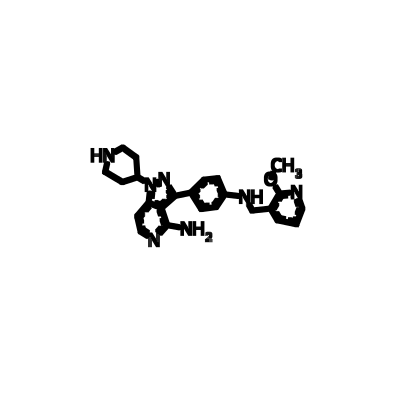 COc1ncccc1CNc1ccc(-c2nn(C3CCNCC3)c3ccnc(N)c23)cc1